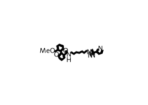 COC(=O)c1ccccc1-c1ccccc1C(=O)NCCCCCCCn1cc(-c2cccnc2)nn1